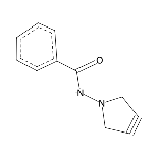 O=C([N]N1CC#CC1)c1ccccc1